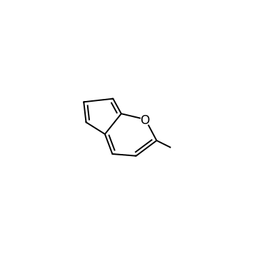 Cc1ccc2cccc-2o1